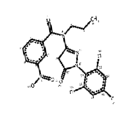 CCCN(C(=O)c1cccc([N+](=O)[O-])c1)C1=NN(c2c(Cl)cc(Cl)cc2Cl)C(=O)C1